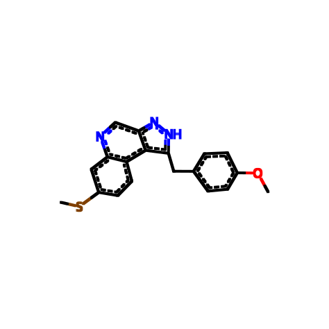 COc1ccc(Cc2[nH]nc3cnc4cc(SC)ccc4c23)cc1